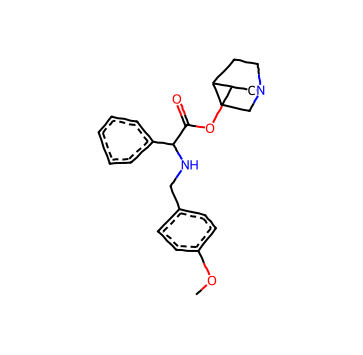 COc1ccc(CNC(C(=O)OC2CN3CCC2CC3)c2ccccc2)cc1